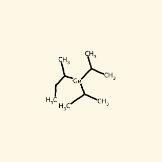 CC[CH](C)[Ge]([CH](C)C)[CH](C)C